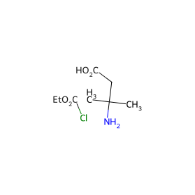 CC(C)(N)CC(=O)O.CCOC(=O)Cl